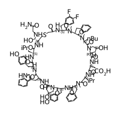 CCCC[C@H]1C(=O)N2C[C@@H](O)C[C@@H]2C(=O)N[C@@H](CC(=O)O)C(=O)N[C@@H](C(C)C)C(=O)N(C)[C@@H](Cc2ccccc2)C(=O)N[C@@H](Cc2ccc(O)cc2)C(=O)N2C[C@@H](O)C[C@@H]2C(=O)N[C@@H](Cc2c[nH]c3ccccc23)C(=O)N[C@@H](Cc2ccc(O)cc2)C(=O)N[C@@H](CC(C)C)C(=O)N[C@H](C(O)NCC(N)=O)CSCC(=O)N[C@@H](Cc2ccc(F)c(F)c2)C(=O)N(C)C(Cc2ccccc2)C(=O)N1C